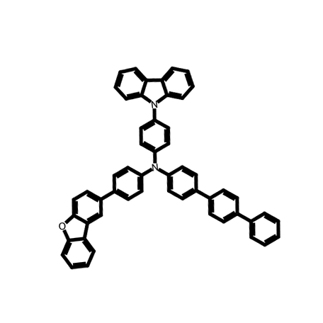 c1ccc(-c2ccc(-c3ccc(N(c4ccc(-c5ccc6oc7ccccc7c6c5)cc4)c4ccc(-n5c6ccccc6c6ccccc65)cc4)cc3)cc2)cc1